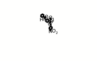 O=C(N[C@@H]1CC[C@@H](C(=O)OCc2ccc([N+](=O)[O-])cc2)N(C(=O)Cl)C1)c1ccccc1